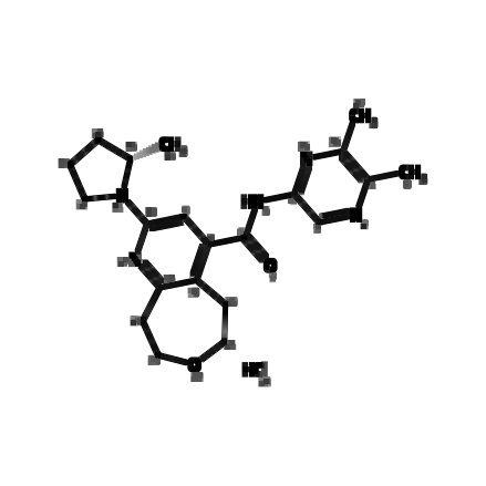 Cc1ncc(NC(=O)c2cc(N3CCC[C@@H]3C)nc3c2CCOCC3)nc1C.Cl